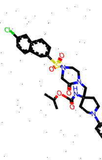 CC(C)OC(=O)NC1(CN2CCN(S(=O)(=O)c3ccc4cc(Cl)ccc4c3)CC2=O)CCN(c2ccncc2)CC1